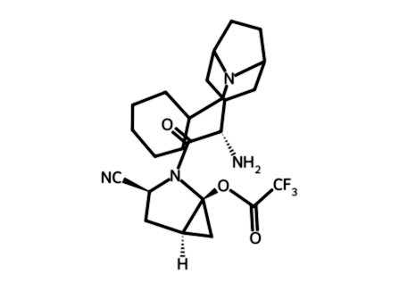 N#C[C@@H]1C[C@@H]2C[C@@]2(OC(=O)C(F)(F)F)N1C(=O)[C@@H](N)C1CC2CCC(C1)N2CC1CCCCC1